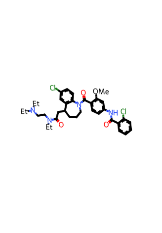 CCN(CC)CCN(CC)C(=O)CC1CCCN(C(=O)c2ccc(NC(=O)c3ccccc3Cl)cc2OC)c2ccc(Cl)cc21